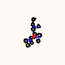 c1ccc(-c2ccc3c4ccc(-c5cc(-c6ccc7c(c6)c6ccccc6n7-c6cccc7sc8ccccc8c67)cc(-c6ccccc6N(c6ccccc6)c6ccccc6)c5)cc4n(-c4ccccc4)c3c2)cc1